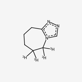 [2H]C1([2H])CCCc2nncn2C1([2H])[2H]